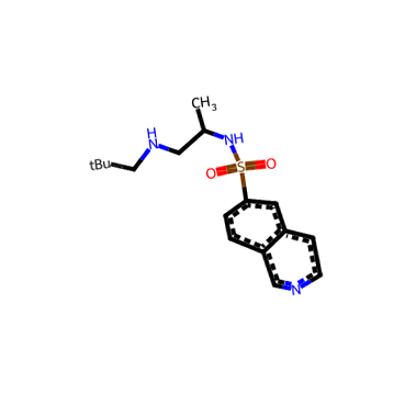 CC(CNCC(C)(C)C)NS(=O)(=O)c1ccc2cnccc2c1